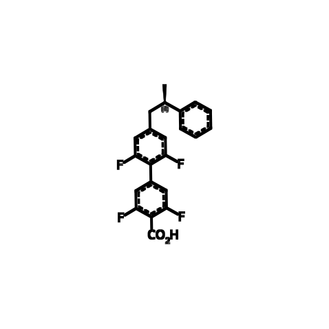 C[C@H](Cc1cc(F)c(-c2cc(F)c(C(=O)O)c(F)c2)c(F)c1)c1ccccc1